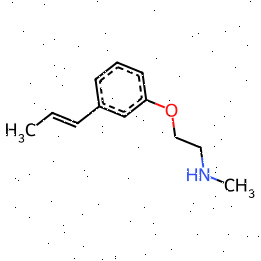 C/C=C/c1cccc(OCCNC)c1